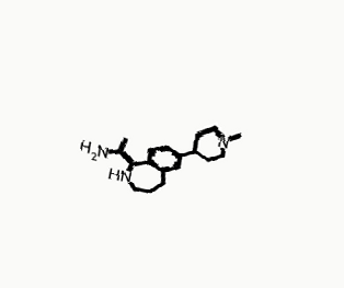 C/C(N)=C1/NCCCc2cc(C3CCN(C)CC3)ccc21